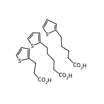 O=C(O)CCCCc1cccs1.O=C(O)CCCCc1cccs1.O=C(O)CCc1cccs1